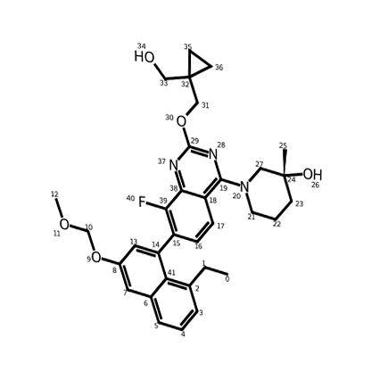 CCc1cccc2cc(OCOC)cc(-c3ccc4c(N5CCC[C@@](C)(O)C5)nc(OCC5(CO)CC5)nc4c3F)c12